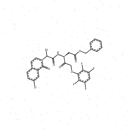 CCC(C(=O)N[C@@H](CC(=O)OCc1ccccc1)C(=O)COc1c(F)c(F)cc(F)c1F)n1ccc2ccc(Cl)cc2c1=O